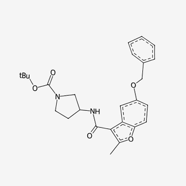 Cc1oc2ccc(OCc3ccccc3)cc2c1C(=O)NC1CCN(C(=O)OC(C)(C)C)C1